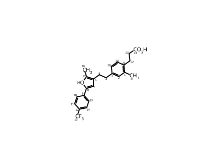 Cc1cc(CCc2cc(-c3ccc(C(F)(F)F)cc3)oc2C)ccc1CCC(=O)O